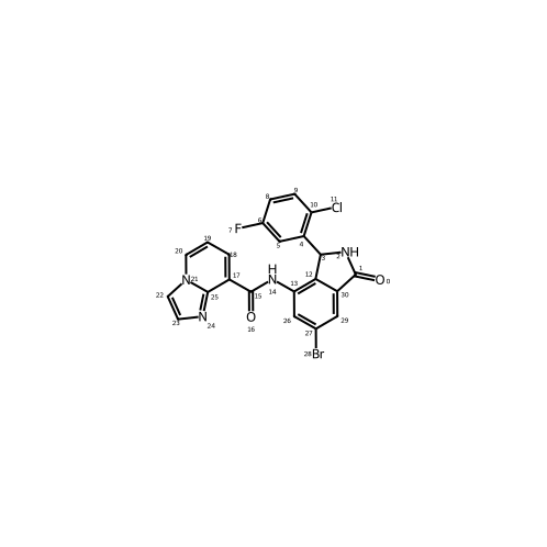 O=C1NC(c2cc(F)ccc2Cl)c2c(NC(=O)c3cccn4ccnc34)cc(Br)cc21